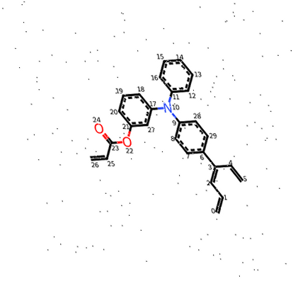 C=C/C=C(\C=C)c1ccc(N(c2ccccc2)c2cccc(OC(=O)C=C)c2)cc1